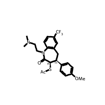 COc1ccc([C@@H]2Cc3cc(C(F)(F)F)ccc3N(CCN(C)C)C(=O)[C@@H]2SC(C)=O)cc1